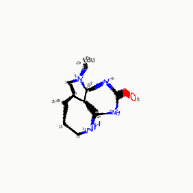 CC(C)(C)n1cc2c3c([nH]c(=O)nc31)NCCC2